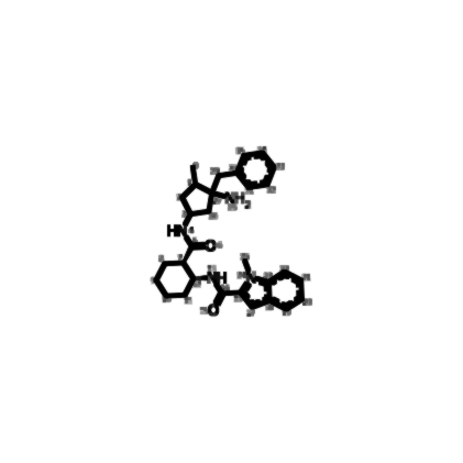 CC1CC(NC(=O)[C@@H]2CCCC[C@@H]2NC(=O)c2cc3ccccc3n2C)CC1(N)Cc1ccccc1